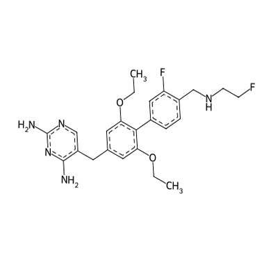 CCOc1cc(Cc2cnc(N)nc2N)cc(OCC)c1-c1ccc(CNCCF)c(F)c1